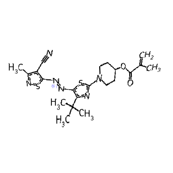 C=C(C)C(=O)OC1CCN(c2nc(C(C)(C)C)c(/N=N/c3snc(C)c3C#N)s2)CC1